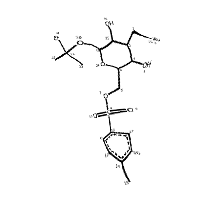 CC[C@H](C)CC1C(O)C(COS(=O)(=O)c2ccc(C)cc2)OC(OC(C)(C)CC)C1O